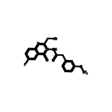 CC(C)Cc1nc2ccc(F)cc2c(=O)n1NC(=O)Cc1cccc(OC(F)(F)F)c1